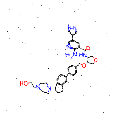 Cn1cc(-c2cnc(N)c(C(=O)N[C@H]3COC[C@@H]3OCc3ccc(-c4ccc5c(c4)CC[C@@H]5N4CCN(CCO)CC4)cc3)c2)cn1